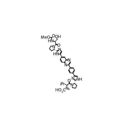 COC(=O)N[C@@H](CO)C(=O)N1CCC[C@H]1c1ncc(-c2ccc3nc(-c4ccc(-c5c[nH]c([C@@H]6CCCN6C(=O)[C@H](C(C)C)N(C)C(=O)O)n5)cc4)cnc3c2)[nH]1